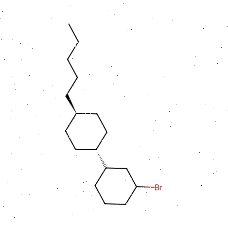 CCCCC[C@H]1CC[C@H](C2CCCC(Br)C2)CC1